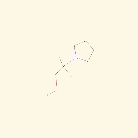 CCOCC(C)(C)N1CCCC1